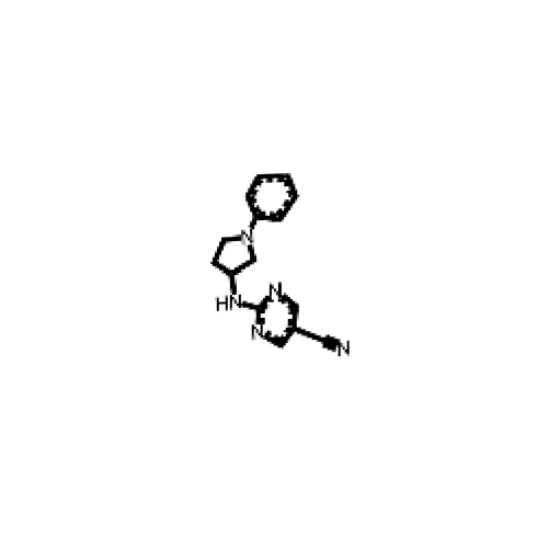 N#Cc1cnc(NC2CCN(c3ccccc3)C2)nc1